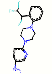 Nc1ccc(N2CCN(c3ccccc3C(F)C(F)F)CC2)nc1